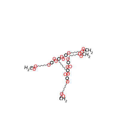 C=CC(=O)OCCCCCCCCOc1ccc(C(=O)Oc2ccc(OC(=O)c3ccc(OCCCCCCCCOC(=O)C=C)cc3)c(CCCCCCCc3cc(OC(=O)c4ccc(OCCCCCCCCOC(=O)C=C)cc4)ccc3OC(=O)c3ccc(OCCCCCCCCOC(=O)C=C)cc3)c2)cc1